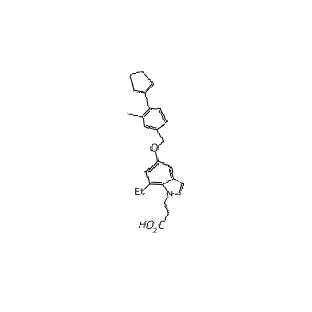 CCc1cc(OCc2ccc(C3CCCC3)c(C)c2)cc2ccn(CCC(=O)O)c12